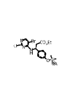 CCOC(=O)CC(Nc1nc(Cl)ncc1Br)c1ccc(O[Si](C)(C)C(C)(C)C)cc1